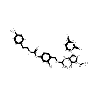 CC(OCc1ccc(OC(=O)OCCc2ccc([N+](=O)[O-])cc2)cc1Cl)O[C@@H]1[C@H](O)[C@@H](CO)O[C@H]1n1ccc(=O)[nH]c1=O